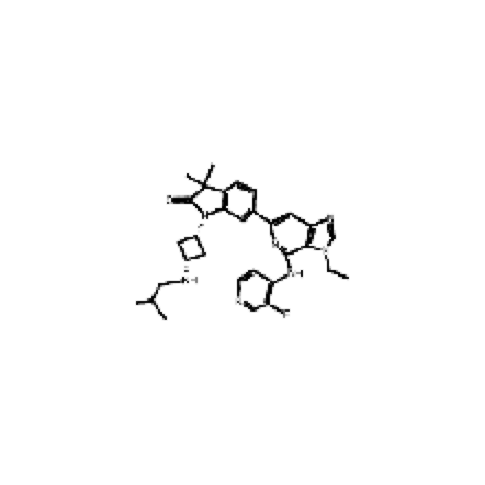 CCn1cnc2cc(-c3ccc4c(c3)N([C@H]3C[C@@H](NCC(C)C)C3)C(=O)C4(C)C)nc(Nc3ccncc3F)c21